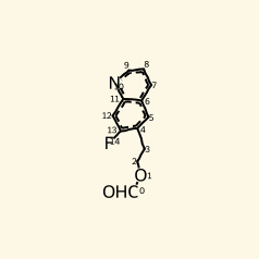 O=COCCc1cc2cccnc2cc1F